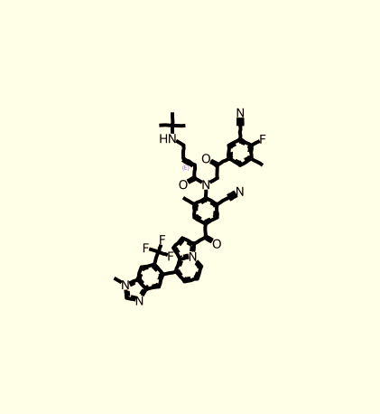 Cc1cc(C(=O)CN(C(=O)/C=C/CNC(C)(C)C)c2c(C)cc(C(=O)c3ccc4c(-c5cc6ncn(C)c6cc5C(F)(F)F)cccn34)cc2C#N)cc(C#N)c1F